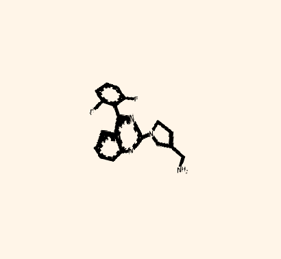 NCC1CCN(c2nc(-c3c(F)cccc3F)c3ccccc3n2)C1